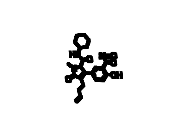 C=CCCC1=C(c2ccc(O)c(C(=O)OC)c2)C(C(=O)NC2CCCCC2)N(C)C1=O